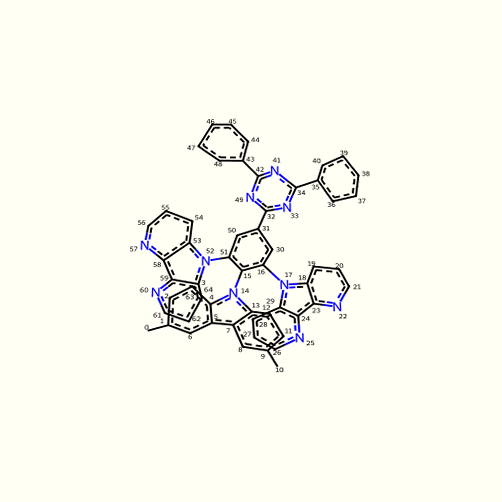 Cc1ccc2c(c1)c1cc(C)ccc1n2-c1c(-n2c3cccnc3c3ncccc32)cc(-c2nc(-c3ccccc3)nc(-c3ccccc3)n2)cc1-n1c2cccnc2c2ncccc21